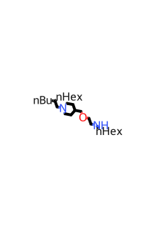 CCCCCCNCCOCC1CCN(CC(CCCC)CCCCCC)CC1